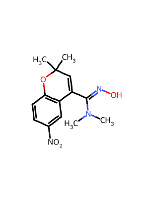 CN(C)C(=NO)C1=CC(C)(C)Oc2ccc([N+](=O)[O-])cc21